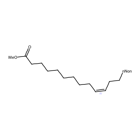 CCCCCCCCCCC/C=C\CCCCCCCCC(=O)OC